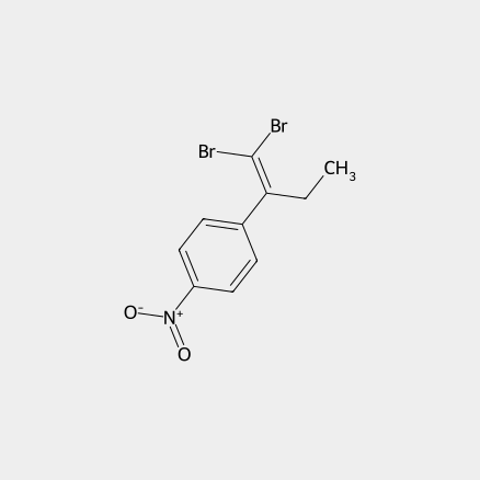 CCC(=C(Br)Br)c1ccc([N+](=O)[O-])cc1